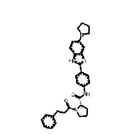 O=C(Nc1ccc(-c2nc3cc(N4CCCC4)ccc3[nH]2)cc1)[C@@H]1CCCN1C(=O)CCc1ccccc1